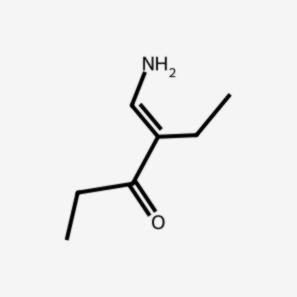 CCC(=O)C(=CN)CC